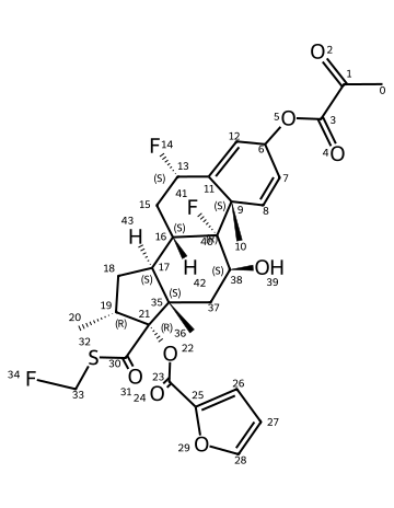 CC(=O)C(=O)OC1C=C[C@@]2(C)C(=C1)[C@@H](F)C[C@H]1[C@@H]3C[C@@H](C)[C@](OC(=O)c4ccco4)(C(=O)SCF)[C@@]3(C)C[C@H](O)[C@@]12F